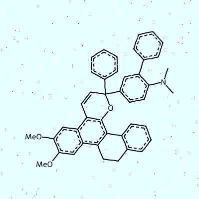 COc1cc2c3c(c4c(c2cc1OC)CCc1ccccc1-4)OC(c1ccccc1)(c1ccc(N(C)C)c(-c2ccccc2)c1)C=C3